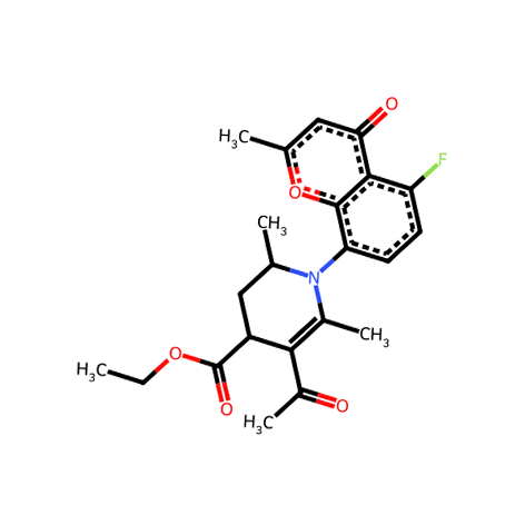 CCOC(=O)C1CC(C)N(c2ccc(F)c3c(=O)cc(C)oc23)C(C)=C1C(C)=O